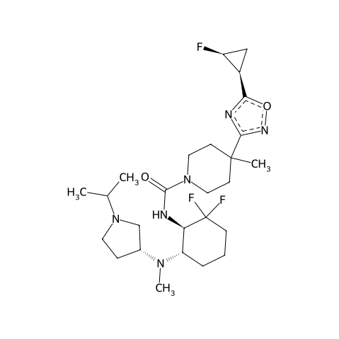 CC(C)N1CC[C@@H](N(C)[C@H]2CCCC(F)(F)[C@@H]2NC(=O)N2CCC(C)(c3noc([C@@H]4C[C@@H]4F)n3)CC2)C1